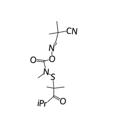 CC(C)C(=O)C(C)(C)SN(C)C(=O)O/N=C/C(C)(C)C#N